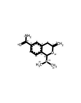 C=C1Cc2cc(C(N)=O)ccc2C(N(C)C)O1